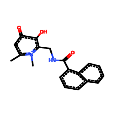 Cc1cc(=O)c(O)c(CNC(=O)c2cccc3ccccc23)n1C